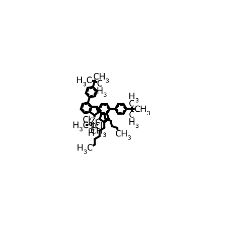 CCCCCCC1=Cc2c(-c3ccc(C(C)(C)C)cc3)cccc2[CH]1[Zr]([Cl])([Cl])([CH]1C(CCCCCC)=Cc2c(-c3ccc(C(C)(C)C)cc3)cccc21)[SiH](C)C